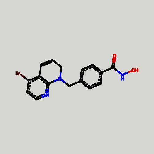 O=C(NO)c1ccc(CN2CC=Cc3c(Br)ccnc32)cc1